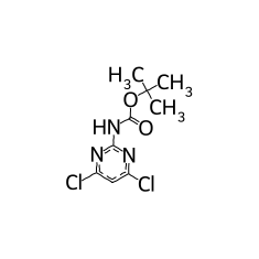 CC(C)(C)OC(=O)Nc1nc(Cl)cc(Cl)n1